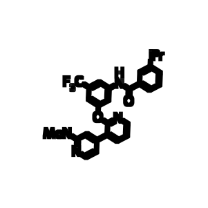 CNc1cc(-c2cccnc2Oc2cc(NC(=O)c3cccc(C(C)C)c3)cc(C(F)(F)F)c2)ccn1